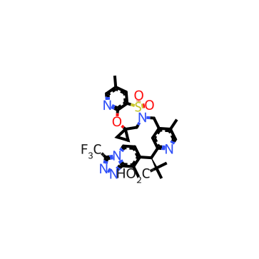 Cc1cnc2c(c1)S(=O)(=O)N(Cc1cc([C@H](c3ccn4c(C(F)(F)F)nnc4c3C)C(C)(C)C(=O)O)ncc1C)CC1(CC1)O2